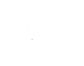 COc1ccc(CN(SC2CC2)C(=N)c2c(Cl)ccc(Br)c2NCC(F)F)cc1